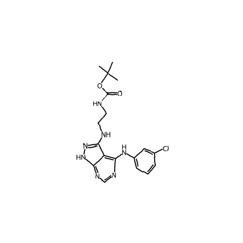 CC(C)(C)OC(=O)NCCNc1n[nH]c2ncnc(Nc3cccc(Cl)c3)c12